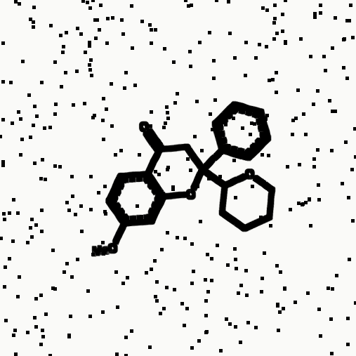 COc1ccc2c(c1)OC(c1ccccc1)(C1CCCCO1)CC2=O